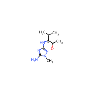 CC(=O)[C@@H](Nc1nc(N)n(C)n1)C(C)C